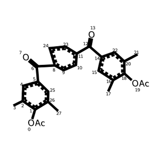 CC(=O)Oc1c(C)cc(C(=O)c2ccc(C(=O)c3cc(C)c(OC(C)=O)c(C)c3)cc2)cc1C